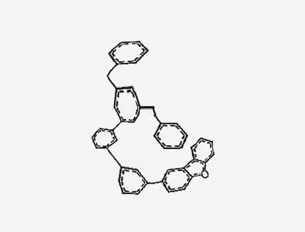 c1ccc(Cc2cc(Cc3ccccc3)cc(-c3cccc(-c4cccc(-c5ccc6oc7ccccc7c6c5)c4)c3)c2)cc1